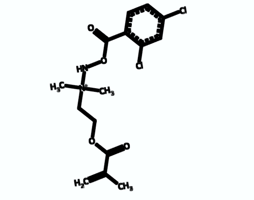 C=C(C)C(=O)OCC[N+](C)(C)NOC(=O)c1ccc(Cl)cc1Cl